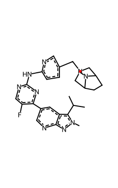 CC(C)c1c2cc(-c3nc(Nc4ccc(CN5CC6CCC(C5)N6C)cn4)ncc3F)cnc2nn1C